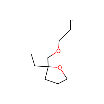 [CH2]CCOCC1(CC)CCCO1